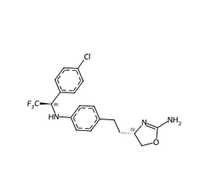 NC1=N[C@@H](CCc2ccc(N[C@H](c3ccc(Cl)cc3)C(F)(F)F)cc2)CO1